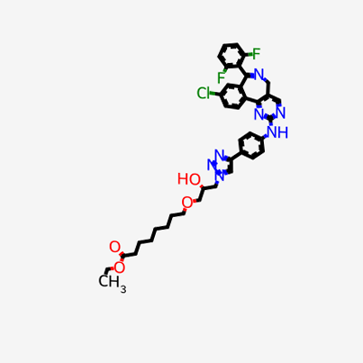 CCOC(=O)CCCCCCCOCC(O)Cn1cc(-c2ccc(Nc3ncc4c(n3)-c3ccc(Cl)cc3C(c3c(F)cccc3F)=NC4)cc2)nn1